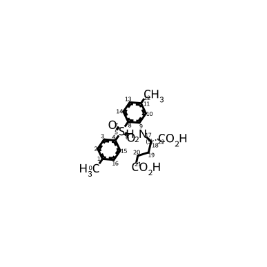 Cc1ccc(S(=O)(=O)c2ccc(C)cc2)cc1.N[C@@H](CCC(=O)O)C(=O)O